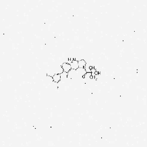 CC(C)(O)C(=O)N1CCC(N)C1Cc1cccc(-c2cc(F)cc(F)c2)c1F